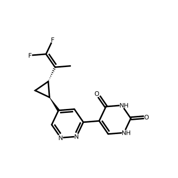 CC(=C(F)F)[C@H]1C[C@@H]1c1cnnc(-c2c[nH]c(=O)[nH]c2=O)c1